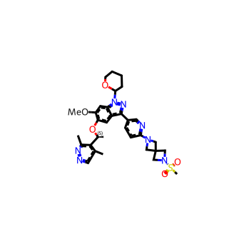 COc1cc2c(cc1O[C@@H](C)c1c(C)cnnc1C)c(-c1ccc(N3CC4(C3)CN(S(C)(=O)=O)C4)nc1)nn2C1CCCCO1